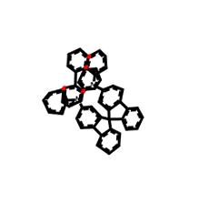 c1ccc(-c2ccccc2N(c2ccccc2)c2ccc3c(c2)C2(c4ccccc4-c4ccc(N(c5ccccc5)c5ccccc5)cc42)c2ccccc2-3)cc1